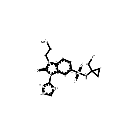 COCCn1c(=O)n(-c2ncns2)c2cc(S(=O)(=O)NC3(CF)CC3)ccc21